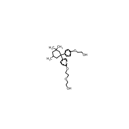 CC1CC(C)(C)CC(c2ccc(OCCO)cc2)(c2ccc(OCCOCCO)cc2)C1